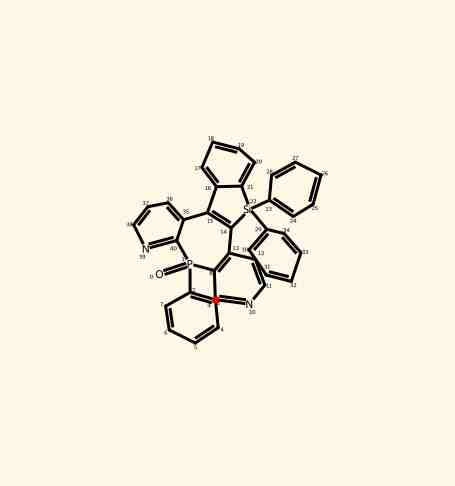 O=P1(c2ccccc2)c2cnccc2C2=C(c3ccccc3[Si]2(c2ccccc2)c2ccccc2)c2cccnc21